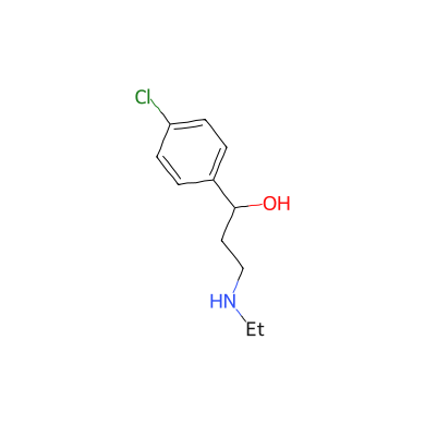 CCNCCC(O)c1ccc(Cl)cc1